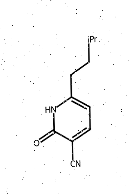 CC(C)CCc1ccc(C#N)c(=O)[nH]1